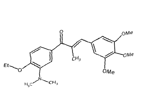 CCOc1ccc(C(=O)/C(C)=C/c2cc(OC)c(OC)c(OC)c2)cc1N(C)C